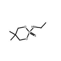 CCNP1(=S)OCC(C)(C)CO1